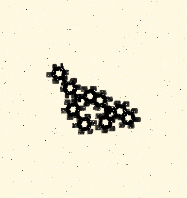 c1ccc(-c2ccc(N(c3cccc(-c4ccccc4)c3)c3ccc4ccc(-n5c6ccccc6c6c7ccccc7ccc65)cc4c3)cc2)cc1